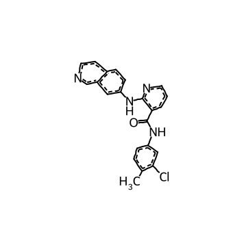 Cc1ccc(NC(=O)c2cccnc2Nc2ccc3ccncc3c2)cc1Cl